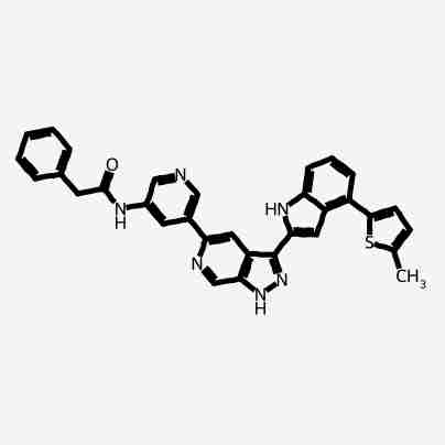 Cc1ccc(-c2cccc3[nH]c(-c4n[nH]c5cnc(-c6cncc(NC(=O)Cc7ccccc7)c6)cc45)cc23)s1